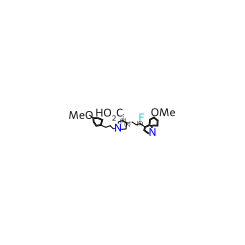 COc1ccc(CCCN2CC[C@@H](CC[C@H](F)c3ccnc4ccc(OC)cc34)[C@@H](CC(=O)O)C2)cc1